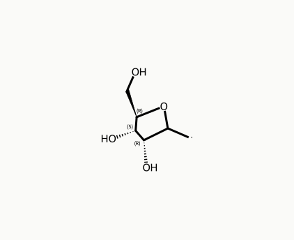 [CH2]C1O[C@H](CO)[C@@H](O)[C@H]1O